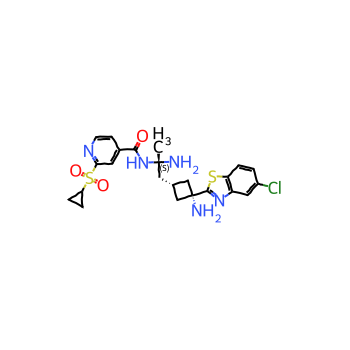 C[C@@](N)(C[C@H]1C[C@](N)(c2nc3cc(Cl)ccc3s2)C1)NC(=O)c1ccnc(S(=O)(=O)C2CC2)c1